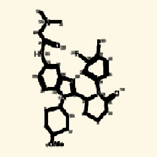 COC1CCC(n2c(C3CCCC(=O)N3c3ccc(F)c(F)c3)nc3cc(NC(=O)CN(C)C)ccc32)CC1